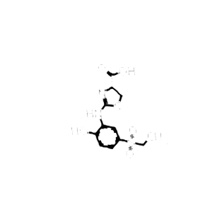 CCS(=O)(=O)c1ccc(O)c(NC2=N[C@H](C(=O)O)CS2)c1